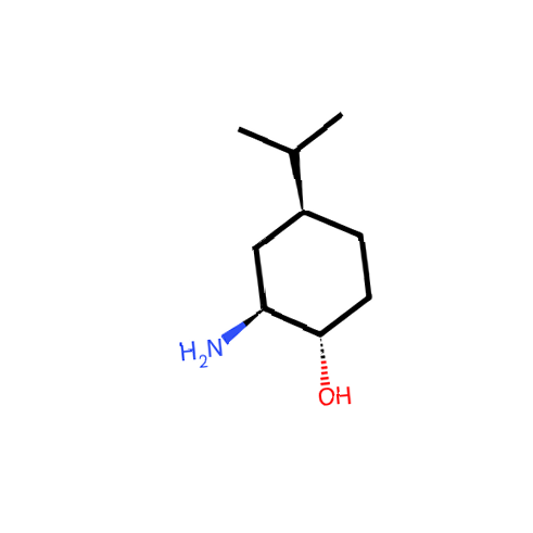 CC(C)[C@H]1CC[C@H](O)[C@@H](N)C1